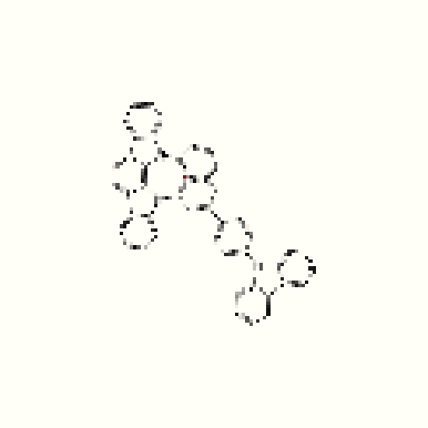 c1ccc(-n2c3ccccc3c3ccc4c5ccccc5n(-c5cccc(-c6ccc(-n7c8ccccc8c8ccccc87)cc6)c5)c4c32)cc1